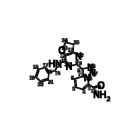 NC(=O)c1cccc2c(-c3nc4c(c(NCc5ccccc5)n3)OCC4)nnn12